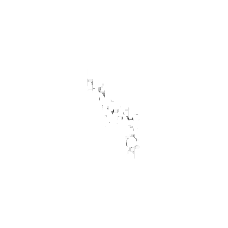 CC(C)CN(C1CCN([C@@H](C)C(N)=O)CC1)[C@@H]1CCN(C(=O)[CH]Cc2ccc(Cl)cc2)C1